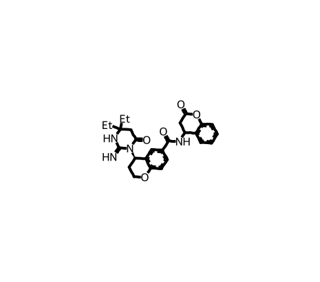 CCC1(CC)CC(=O)N([C@@H]2CCOc3ccc(C(=O)NC4CC(=O)Oc5ccccc54)cc32)C(=N)N1